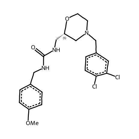 COc1ccc(CNC(=O)NC[C@H]2CN(Cc3ccc(Cl)c(Cl)c3)CCO2)cc1